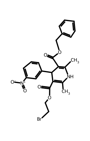 CC1=C(C(=O)OCCBr)C(c2cccc([N+](=O)[O-])c2)C(C(=O)OCc2ccccc2)=C(C)N1